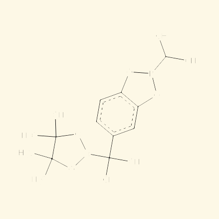 CC(C)B1Oc2ccc(C(C)(C)B3OC(C)(C)C(C)(C)O3)cc2O1